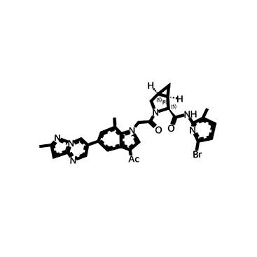 CC(=O)c1cn(CC(=O)N2C[C@H]3C[C@H]3[C@H]2C(=O)Nc2nc(Br)ccc2C)c2c(C)cc(-c3cnc4cc(C)nn4c3)cc12